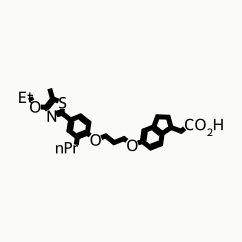 CCCc1cc(-c2nc(OCC)c(C)s2)ccc1OCCCOc1ccc2c(c1)CCC2CC(=O)O